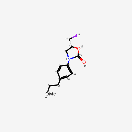 COCCc1ccc(N2C[C@H](CI)OC2=O)cc1